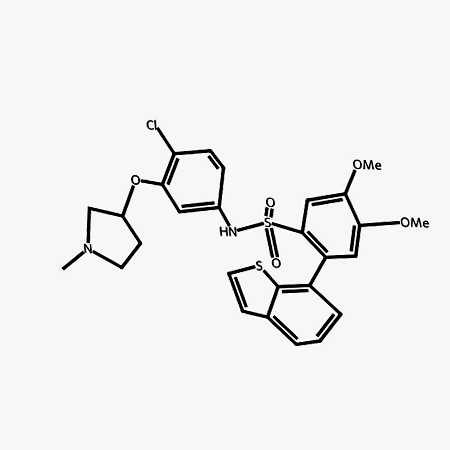 COc1cc(-c2cccc3ccsc23)c(S(=O)(=O)Nc2ccc(Cl)c(OC3CCN(C)C3)c2)cc1OC